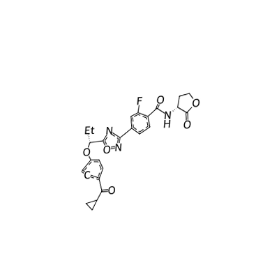 CC[C@@H](Oc1ccc(C(=O)C2CC2)cc1)c1nc(-c2ccc(C(=O)N[C@@H]3CCOC3=O)c(F)c2)no1